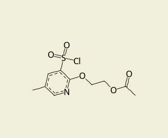 CC(=O)OCCOc1ncc(C)cc1S(=O)(=O)Cl